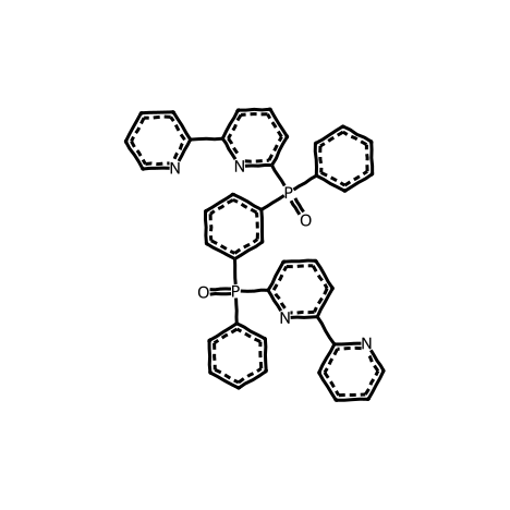 O=P(c1ccccc1)(c1cccc(P(=O)(c2ccccc2)c2cccc(-c3ccccn3)n2)c1)c1cccc(-c2ccccn2)n1